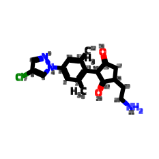 Cc1cc(-n2cc(Cl)cn2)cc(C)c1C1C(=O)CC(CCN)C1=O